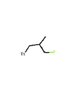 [CH2]CCC(C)CF